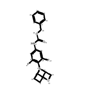 O=C(Nc1cc(F)c(N2C3CCC34OCC24)c(F)c1)OCc1ccccc1